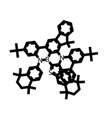 CC(C)(C)c1ccc(N2c3c4c(cc5c3C(C)(C)c3ccccc3-5)-c3ccc(C(C)(C)C)cc3N(c3ccc5c(c3)C(C)(C)CCC5(C)C)B4c3sc4cc5c(cc4c32)C(C)(C)CCC5(C)C)c(-c2ccccc2)c1